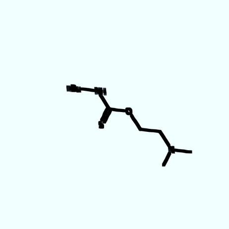 CCCCNC(=S)OCCN(C)C